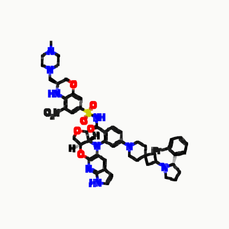 CC(C)c1ccccc1[C@@H]1CCCN1C1CC2(CCN(c3ccc(C(=O)NS(=O)(=O)c4cc5c(c([N+](=O)[O-])c4)N[C@@H](CN4CCN(C)CC4)CO5)c(N4c5cc6cc[nH]c6nc5O[C@H]5COC[C@@H]54)c3)CC2)C1